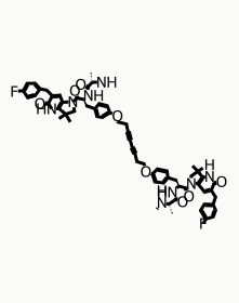 CN[C@@H](C)C(=O)N[C@@H](Cc1ccc(OCCC#CC#CCCOc2ccc(C[C@H](NC(=O)[C@H](C)NC)C(=O)N3CC(C)(C)c4[nH]c(=O)c(Cc5ccc(F)cc5)cc43)cc2)cc1)C(=O)N1CC(C)(C)c2[nH]c(=O)c(Cc3ccc(F)cc3)cc21